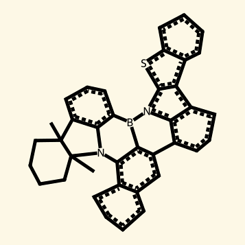 CC12CCCCC1(C)N1c3c(cccc32)B2c3c(cc4ccccc4c31)-c1cccc3c4c5ccccc5sc4n2c13